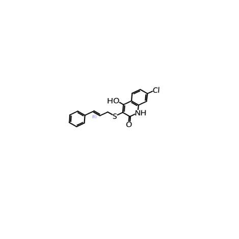 O=c1[nH]c2cc(Cl)ccc2c(O)c1SC/C=C/c1ccccc1